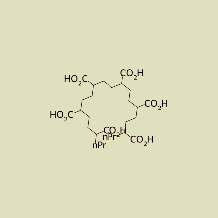 CCCC(CCC(CCC(CCC(CCC(CCC(CCC)C(=O)O)C(=O)O)C(=O)O)C(=O)O)C(=O)O)C(=O)O